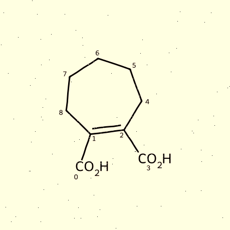 O=C(O)C1=C(C(=O)O)CCCCC1